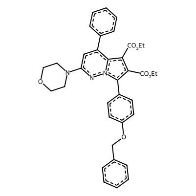 CCOC(=O)c1c(C(=O)OCC)c2c(-c3ccccc3)cc(N3CCOCC3)nn2c1-c1ccc(OCc2ccccc2)cc1